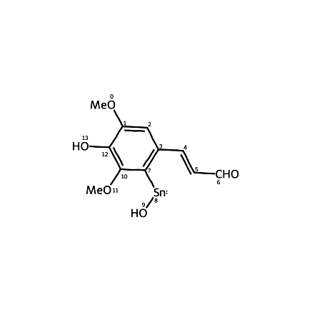 COc1cc(C=CC=O)[c]([Sn][OH])c(OC)c1O